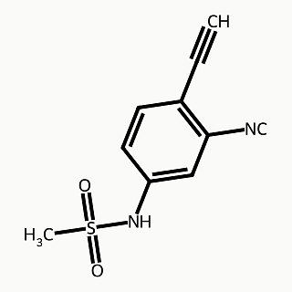 [C-]#[N+]c1cc(NS(C)(=O)=O)ccc1C#C